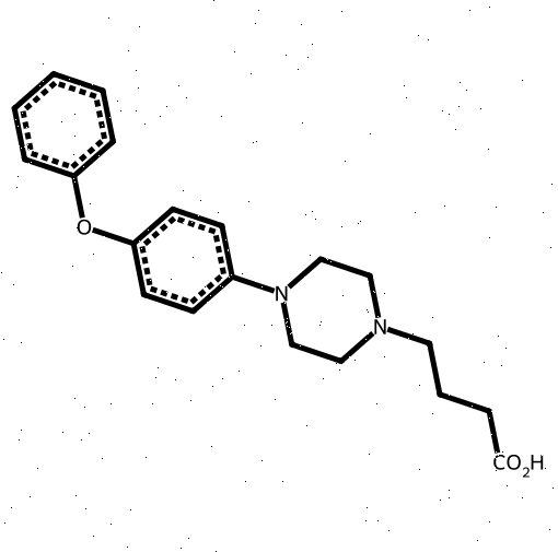 O=C(O)CCCN1CCN(c2ccc(Oc3ccccc3)cc2)CC1